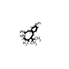 C=C(C)/C1=C/c2ccc(CCC)cc2CC(C(C)C)N/C=C\C1=C